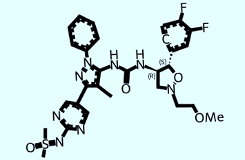 COCCN1C[C@@H](NC(=O)Nc2c(C)c(-c3cnc(N=S(C)(C)=O)nc3)nn2-c2ccccc2)[C@H](c2ccc(F)c(F)c2)O1